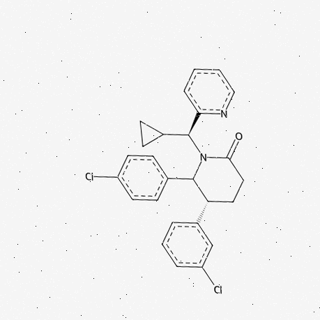 O=C1CC[C@H](c2cccc(Cl)c2)C(c2ccc(Cl)cc2)N1[C@H](c1ccccn1)C1CC1